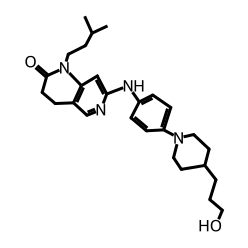 CC(C)CCN1C(=O)CCc2cnc(Nc3ccc(N4CCC(CCCO)CC4)cc3)cc21